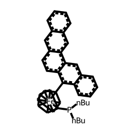 CCCCP(CCCC)[C]12[CH]3[CH]4[CH]5[CH]1[Fe]45321678[CH]2[CH]1[CH]6[C]7(c1c3ccccc3cc3c1ccc1cc4ccccc4cc13)[CH]28